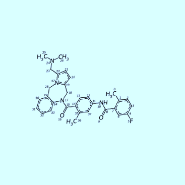 Cc1ccc(F)cc1C(=O)Nc1ccc(C(=O)N2Cc3ccc(CN(C)C)n3Cc3ccccc32)c(C)c1